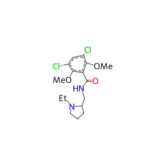 CCN1CCCC1CNC(=O)c1c(OC)c(Cl)cc(Cl)c1OC